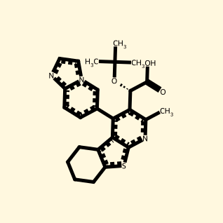 Cc1nc2sc3c(c2c(-c2ccc4nccn4c2)c1[C@H](OC(C)(C)C)C(=O)O)CCCC3